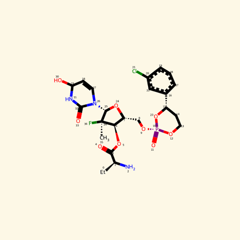 CC[C@H](N)C(=O)O[C@@H]1[C@@H](CO[P@@]2(=O)OCC[C@@H](c3cccc(Cl)c3)O2)O[C@@H](N2C=CC(O)NC2=O)[C@]1(C)F